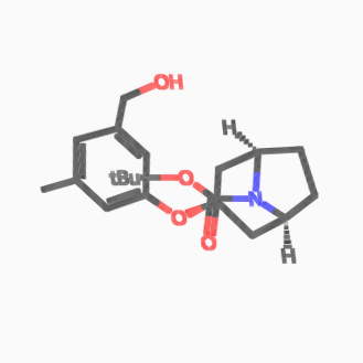 Cc1cc(CO)cc(O[C@H]2C[C@H]3CC[C@@H](C2)N3C(=O)OC(C)(C)C)c1